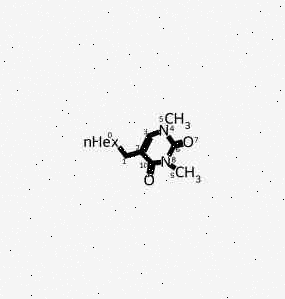 CCCCCCCc1cn(C)c(=O)n(C)c1=O